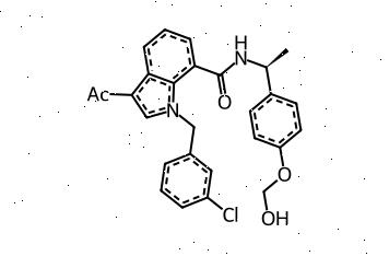 CC(=O)c1cn(Cc2cccc(Cl)c2)c2c(C(=O)N[C@@H](C)c3ccc(OCO)cc3)cccc12